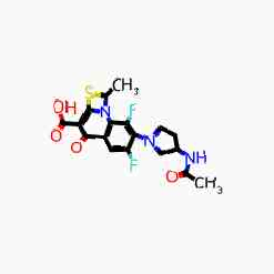 CC(=O)NC1CCN(c2c(F)cc3c(=O)c(C(=O)O)c4n(c3c2F)C(C)S4)C1